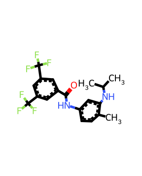 Cc1ccc(NC(=O)c2cc(C(F)(F)F)cc(C(F)(F)F)c2)cc1NC(C)C